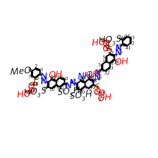 COc1ccc(N=Nc2c(S(=O)(=O)O)cc3c(S(=O)(=O)O)c(N=Nc4cc(S(=O)(=O)O)c5cc(SOOO)c(N=Nc6ccc7c(O)c(N=Nc8ccccc8S(=O)(=O)O)c(SOOO)cc7c6)c(O)c5c4N)ccc3c2O)c(SOOO)c1